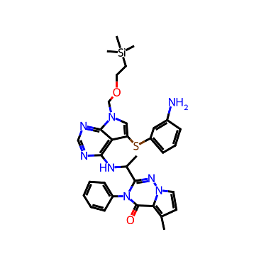 Cc1ccn2nc(C(C)Nc3ncnc4c3c(Sc3cccc(N)c3)cn4COCC[Si](C)(C)C)n(-c3ccccc3)c(=O)c12